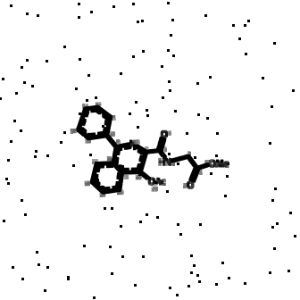 COC(=O)CNC(=O)c1nc(-c2ccccc2)c2ccccc2c1OC(C)=O